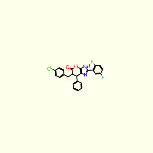 O=C1Oc2[nH]c(-c3cc(F)ccc3F)nc2C(c2ccccc2)C1Cc1ccc(Cl)cc1